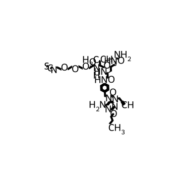 C#CCn1c(=O)n(Cc2ccc(NC(=O)[C@H](CCCNC(N)=O)NC(=O)[C@@H](NC(=O)COCCOCCOCCN=C=S)C(C)C)cc2)c2c(N)nc(OCCCC)nc21